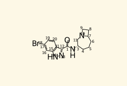 O=C(N[C@H]1CCCC2CCN2C1)c1n[nH]c2cc(Br)ccc12